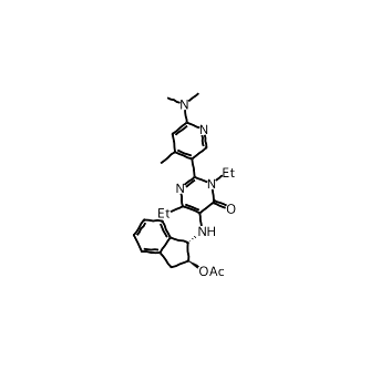 CCc1nc(-c2cnc(N(C)C)cc2C)n(CC)c(=O)c1N[C@H]1c2ccccc2C[C@@H]1OC(C)=O